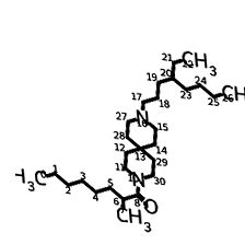 CCCCCCC(C)C(=O)N1CCC2(CCN(CCCC(CC)CCCC)CC2)CC1